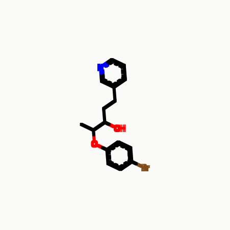 CC(Oc1ccc(Br)cc1)C(O)CCc1cccnc1